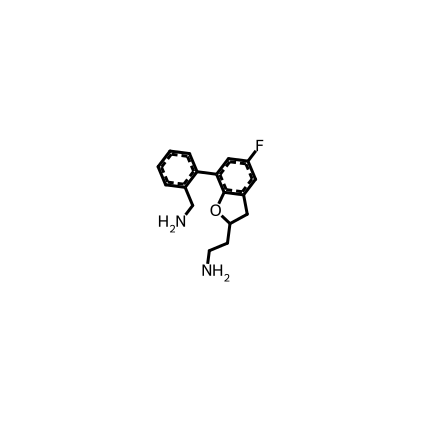 NCCC1Cc2cc(F)cc(-c3ccccc3CN)c2O1